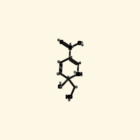 O=[N+]([O-])C1=CNC(Cl)(CO)C=C1